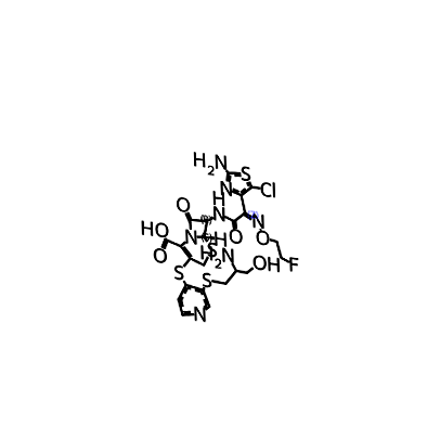 Nc1nc(/C(=N/OCCF)C(=O)N[C@@H]2C(=O)N3C(C(=O)O)=C(Sc4ccncc4SCC(N)CO)CS[C@@H]23)c(Cl)s1